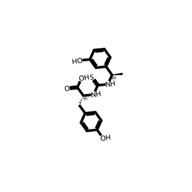 C[C@@H](NC(=S)N[C@H](Cc1ccc(O)cc1)C(=O)O)c1cccc(O)c1